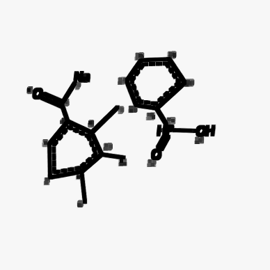 Cc1ccc([C](=O)[Na])c(C)c1C.O=[PH](O)c1ccccc1